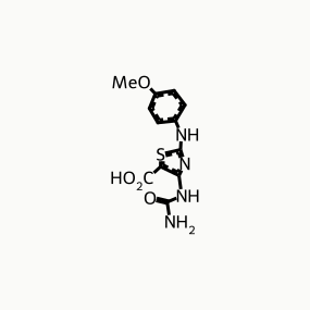 COc1ccc(Nc2nc(NC(N)=O)c(C(=O)O)s2)cc1